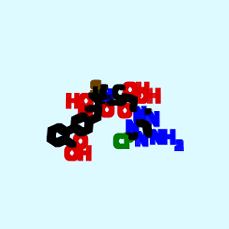 C[C@@]1(O)[C@H](COC(Cc2ccc(-c3ccccc3C(=O)O)cc2)(C(=O)O)c2cscn2)O[C@@H](n2cnc3c(N)nc(Cl)nc32)[C@@H]1O